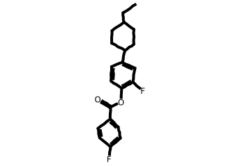 CCC1CCC(c2ccc(OC(=O)c3ccc(F)cc3)c(F)c2)CC1